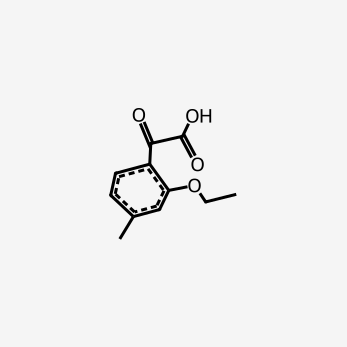 CCOc1cc(C)ccc1C(=O)C(=O)O